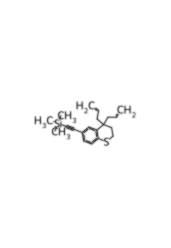 C=CCC1(CC=C)CCSc2ccc(C#C[Si](C)(C)C)cc21